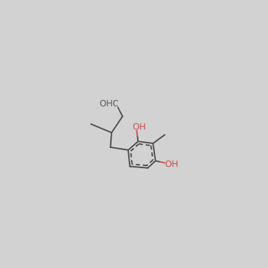 Cc1c(O)ccc(CC(C)CC=O)c1O